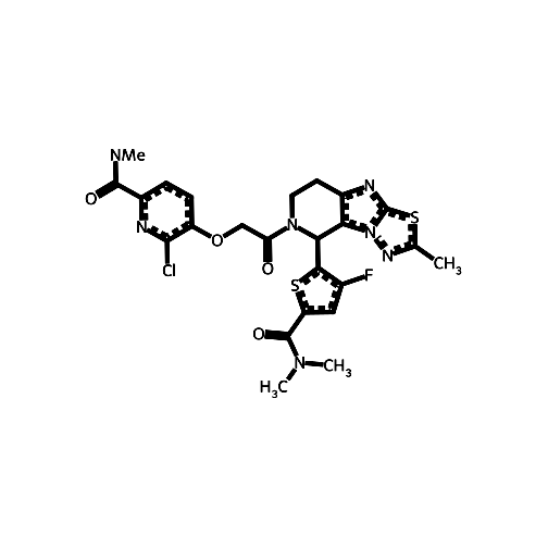 CNC(=O)c1ccc(OCC(=O)N2CCc3nc4sc(C)nn4c3C2c2sc(C(=O)N(C)C)cc2F)c(Cl)n1